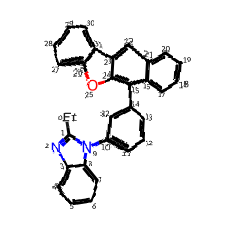 CCc1nc2ccccc2n1-c1cccc(-c2c3ccccc3cc3c2oc2ccccc23)c1